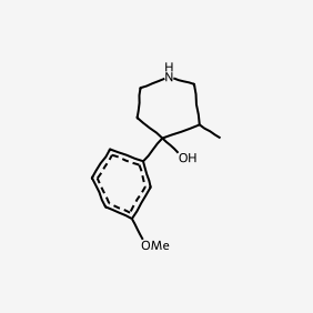 COc1cccc(C2(O)CCNCC2C)c1